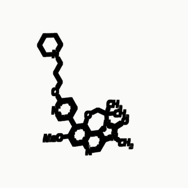 COc1cc2ncc3c4c2c(c1-c1ccc(OCCCN2CCCCC2)nc1)OCC(C)(C)n4c(=O)n3C